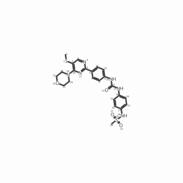 CSc1cnc(-c2ccc(NC(=O)Nc3ccc(NS(C)(=O)=O)cc3)cc2)nc1N1CCOCC1